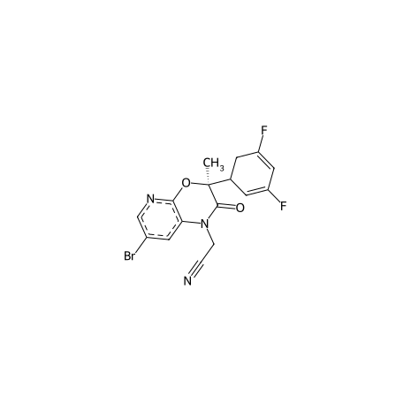 C[C@@]1(C2C=C(F)C=C(F)C2)Oc2ncc(Br)cc2N(CC#N)C1=O